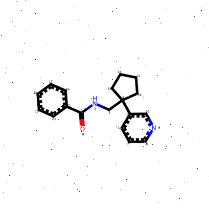 O=C(NCC1(c2cccnc2)CCCC1)c1ccccc1